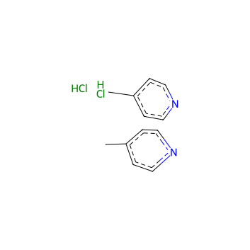 Cc1ccncc1.Cc1ccncc1.Cl.Cl